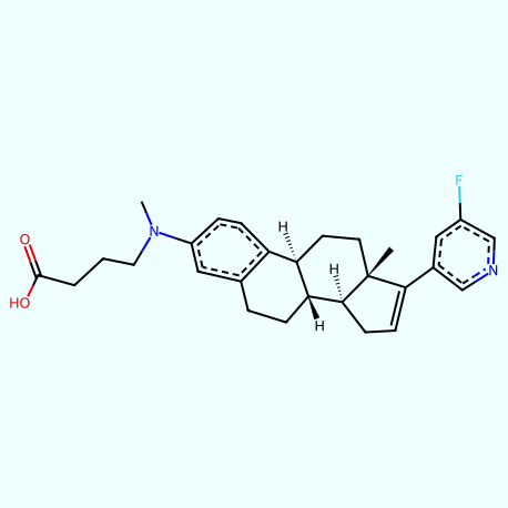 CN(CCCC(=O)O)c1ccc2c(c1)CC[C@@H]1[C@@H]2CC[C@]2(C)C(c3cncc(F)c3)=CC[C@@H]12